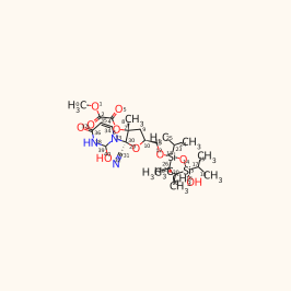 COC(=O)C(=O)O[C@]1(C)C[C@@H](CO[Si](O[Si](O)(C(C)C)C(C)C)(C(C)C)C(C)C)O[C@@]1(C#N)N1C=CC(=O)NC1O